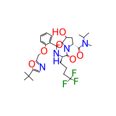 CC(C)N(C)C(=O)[C@H]1C[C@H](O)CN1C(=O)[C@@H](CCCC(F)(F)F)NC(=O)c1ccccc1OCc1ncc(C(C)(C)C)o1